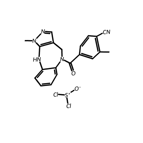 Cc1cc(C(=O)N2Cc3cnn(C)c3Nc3ccccc32)ccc1C#N.[O-][S+](Cl)Cl